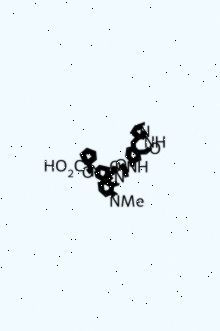 CNCc1ccccc1CN(CC(=O)Nc1ccc2c(c1)CC(=O)Nc1ncccc1C2)C(=O)C1(C)CCN(C(=O)c2ccccc2C(=O)O)CC1